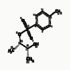 Cc1ccc(S(=O)(=O)O[C@@H](C)[C@@H](C)O)cc1